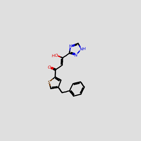 O=C(C=C(O)c1nc[nH]n1)c1cc(Cc2ccccc2)cs1